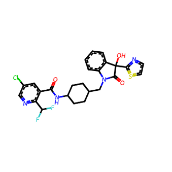 O=C(NC1CCC(CN2C(=O)C(O)(c3nccs3)c3ccccc32)CC1)c1cc(Cl)cnc1C(F)F